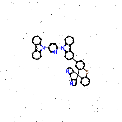 c1ccc2c(c1)Sc1ccc(-c3ccc4c(c3)c3ccccc3n4-c3ccc(-n4c5ccccc5c5ccccc54)cn3)cc1C21c2cccnc2-c2ncccc21